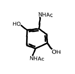 CC(=O)Nc1cc(O)c(NC(C)=O)cc1O